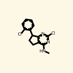 CNc1nc(Cl)nc2c1CCC2c1ccccc1Cl